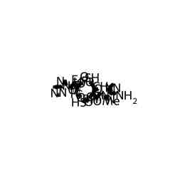 CO[C@H]1[C@H](n2cnc3c(N)ncnc32)O[C@]2(C)COP(=O)(S)O[C@H]3[C@@H](F)[C@H](n4cnc5cncnc54)O[C@@H]3COP(=O)(S)O[C@@H]12